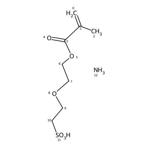 C=C(C)C(=O)OCCOCCS(=O)(=O)O.N